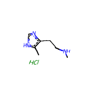 CNCCc1nc[nH]c1C.Cl